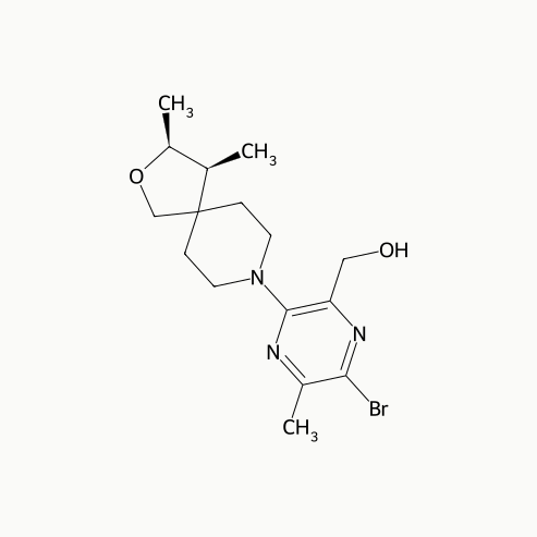 Cc1nc(N2CCC3(CC2)CO[C@@H](C)[C@H]3C)c(CO)nc1Br